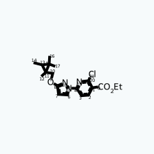 CCOC(=O)c1ccc(-n2ccc(OCC3(C)C(C)C3(C)C)n2)nc1Cl